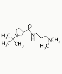 CN(C)CCCNC(=O)C1CCN(C(C)(C)C)C1